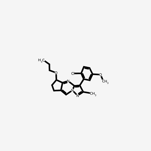 CCCOC1CCc2cn3nc(C)c(-c4cc(OC)ccc4Cl)c3nc21